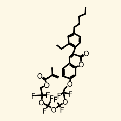 C=C(C)C(=O)OCC(F)(F)OC(F)(F)OC(F)(F)OC(F)(F)COc1ccc2cc(-c3ccc(CCCCC)cc3CC)c(=O)oc2c1